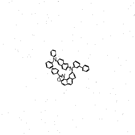 c1ccc(-c2cccc(N(c3ccc4cc(N(c5ccccc5)c5ccccc5)ccc4c3)c3ccc4ccc5ccc6oc(-c7ccccc7)nc6c5c4c3)c2)cc1